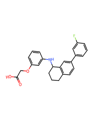 O=C(O)COc1cccc(NC2CCCc3ccc(-c4cccc(F)c4)cc32)c1